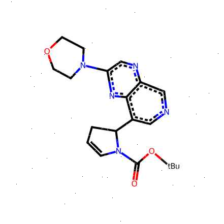 CC(C)(C)OC(=O)N1C=CCC1c1cncc2ncc(N3CCOCC3)nc12